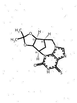 CC1(C)OC2[C@@H](O1)[C@@H]1C[C@H]2n2c(=O)[nH]c(=S)c3ncn(c32)C1